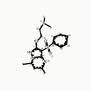 Cc1cc(C)n2nc(OCCN(C)C)c(S(=O)(=O)c3ccccc3)c2n1